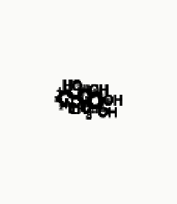 CN1CCCCC1C1CC2(O)CC(O)C(O)CC2(O)CC1O